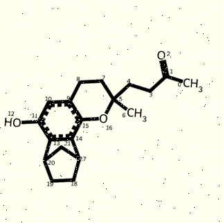 CC(=O)CCC1(C)CCc2cc(O)c3c(c2O1)C1CCC3C1